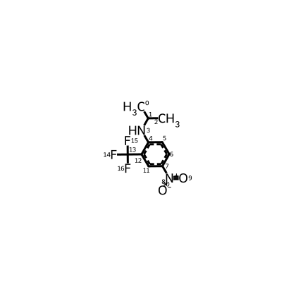 CC(C)Nc1ccc([N+](=O)[O-])cc1C(F)(F)F